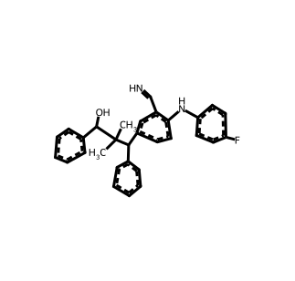 CC(C)(C(O)c1ccccc1)C(c1ccccc1)c1ccc(Nc2ccc(F)cc2)c(C=N)c1